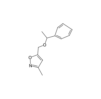 Cc1cc(COC(C)c2ccccc2)on1